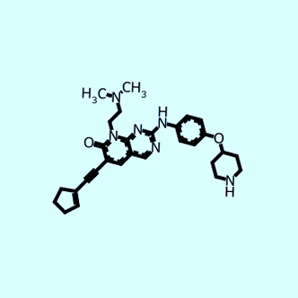 CN(C)CCn1c(=O)c(C#CC2=CCCC2)cc2cnc(Nc3ccc(OC4CCNCC4)cc3)nc21